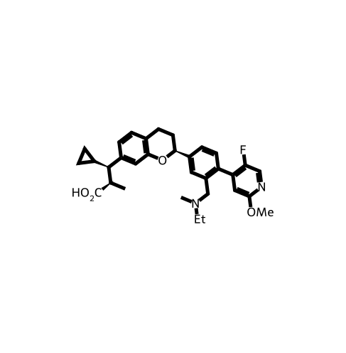 CCN(C)Cc1cc([C@@H]2CCc3ccc([C@H](C4CC4)[C@@H](C)C(=O)O)cc3O2)ccc1-c1cc(OC)ncc1F